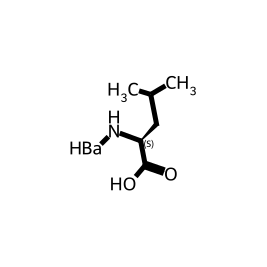 CC(C)C[C@H]([NH][BaH])C(=O)O